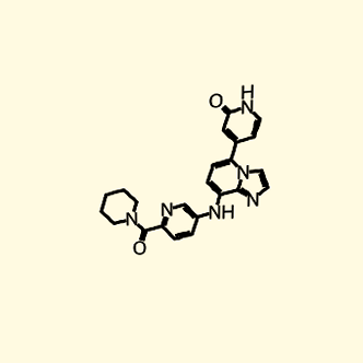 O=C(c1ccc(Nc2ccc(-c3cc[nH]c(=O)c3)n3ccnc23)cn1)N1CCCCC1